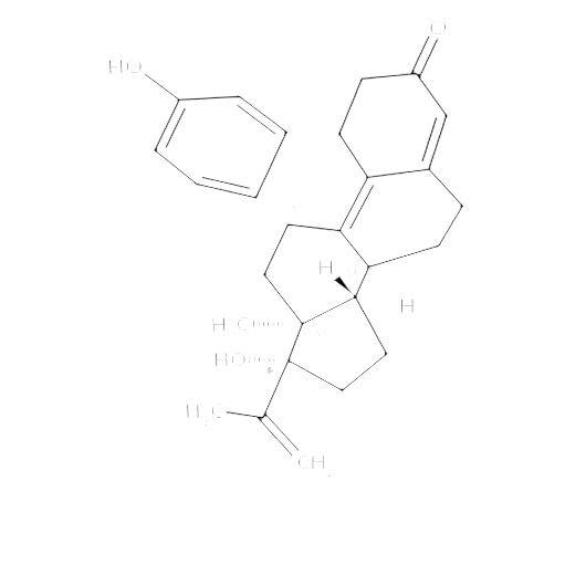 C=C(C)[C@]1(O)CC[C@H]2[C@@H]3CCC4=CC(=O)CCC4=C3[C@@H](c3ccc(O)cc3)C[C@@]21C